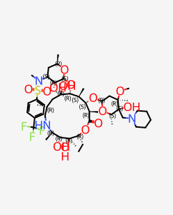 CC[C@H]1OC(=O)[C@H](C)[C@@H](O[C@H]2C[C@@](C)(OC)[C@](O)(CN3CCCCC3)[C@H](C)O2)[C@H](C)[C@@H](O[C@@H]2O[C@H](C)C[C@H](N(C)S(=O)(=O)c3ccc(C(F)(F)F)cc3)[C@H]2O)[C@](C)(O)C[C@@H](C)CN[C@H](C)[C@@H](O)[C@]1(C)O